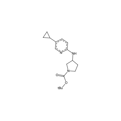 CC(C)(C)OC(=O)N1CCC(Nc2ccc(C3CC3)cn2)C1